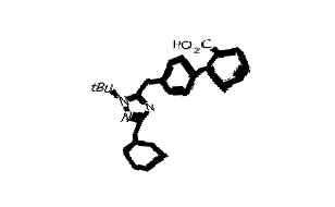 CC(C)(C)n1nc(C2CCCCC2)nc1Cc1ccc(-c2ccccc2C(=O)O)cc1